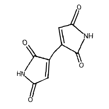 O=C1C=C(C2=CC(=O)NC2=O)C(=O)N1